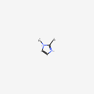 CCn1ccnc1C(C)C